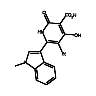 CCc1c(-c2cn(C)c3ccccc23)[nH]c(=O)c(C(=O)O)c1O